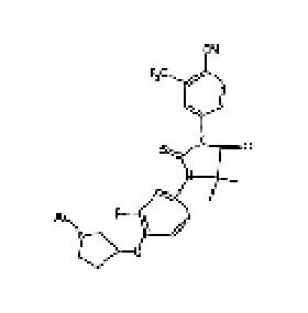 CC(=O)N1CCC(Oc2ccc(N3C(=S)N(c4ccc(C#N)c(C(F)(F)F)c4)C(=O)C3(C)C)cc2F)C1